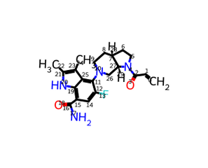 C=CC(=O)N1CC[C@H]2CCN(c3c(F)cc(C(N)=O)c4[nH]c(C)c(C)c34)C[C@H]21